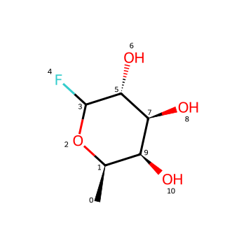 C[C@H]1OC(F)[C@H](O)[C@@H](O)[C@H]1O